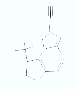 C[C@@]1(C(F)(F)F)CNc2cnc3cc(C#N)nn3c21